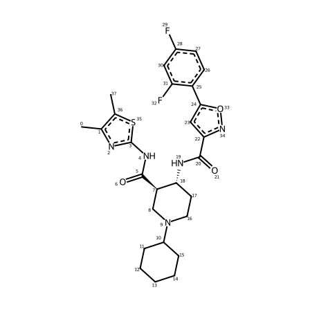 Cc1nc(NC(=O)[C@@H]2CN(C3CCCCC3)CC[C@H]2NC(=O)c2cc(-c3ccc(F)cc3F)on2)sc1C